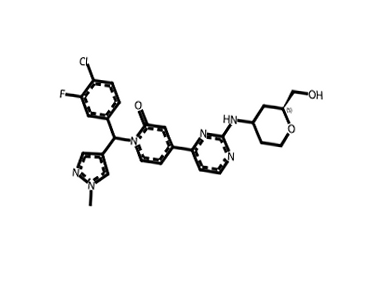 Cn1cc(C(c2ccc(Cl)c(F)c2)n2ccc(-c3ccnc(NC4CCO[C@H](CO)C4)n3)cc2=O)cn1